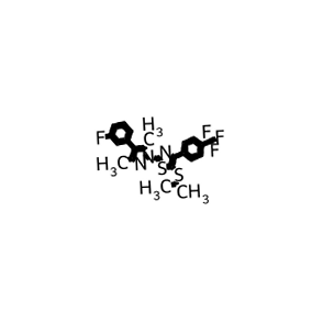 Cc1nn(-c2nc(-c3ccc(C(F)(F)F)cc3)c(SC(C)C)s2)c(C)c1-c1cccc(F)c1